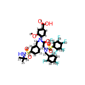 COc1cc(C(=O)O)ccc1N(Cc1cccc(S(=O)(=O)NC(C)(C)C)c1)C(=O)CN(Cc1c(F)cc(F)cc1F)S(=O)(=O)c1c(F)c(F)c(F)c(F)c1F